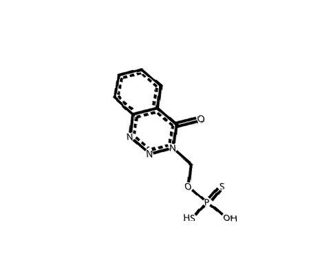 O=c1c2ccccc2nnn1COP(O)(=S)S